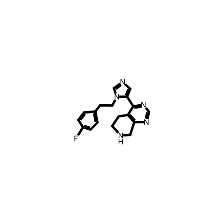 Fc1ccc(CCn2cncc2-c2ncnc3c2CCNC3)cc1